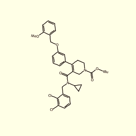 COc1ccccc1COc1cccc(C2=C(C(=O)N(Cc3cccc(Cl)c3Cl)C3CC3)CN(C(=O)OC(C)(C)C)CC2)c1